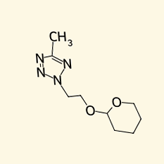 Cc1nnn(CCOC2CCCCO2)n1